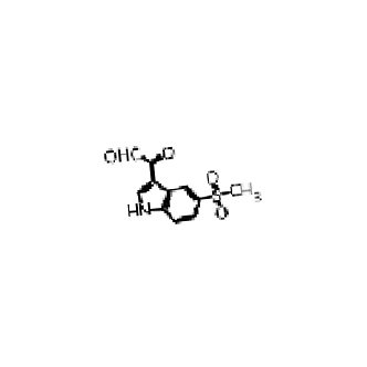 CS(=O)(=O)c1ccc2[nH]cc(C(=O)C=O)c2c1